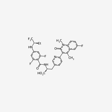 CC[C@@H](Nc1cc(F)c(C(=O)N[C@@H](Cc2ccc(-c3c(C)c4cc(F)ccc4n(C)c3=O)nc2)C(=O)O)c(F)c1)C(F)(F)F